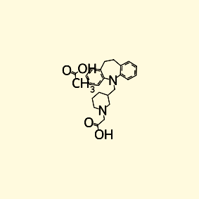 CC(=O)O.O=C(O)CN1CCCC(CN2c3ccccc3CCc3ccccc32)C1